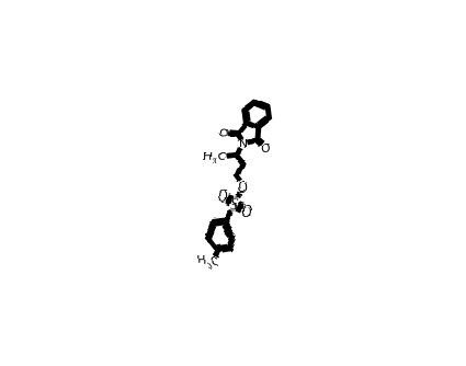 Cc1ccc(S(=O)(=O)OCCC(C)N2C(=O)c3ccccc3C2=O)cc1